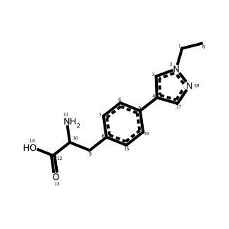 CCn1cc(-c2ccc(CC(N)C(=O)O)cc2)cn1